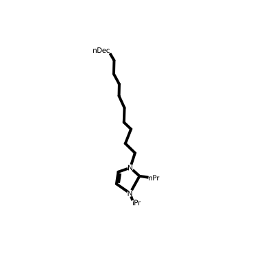 CCCCCCCCCCCCCCCCCCCN1C=CN(C(C)C)C1CCC